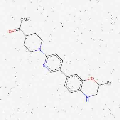 CCC1CNc2ccc(-c3ccc(N4CCC(C(=O)OC)CC4)nc3)cc2O1